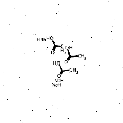 CC(=O)O.CC(=O)O.CC(=O)O.[NaH].[NaH].[NaH]